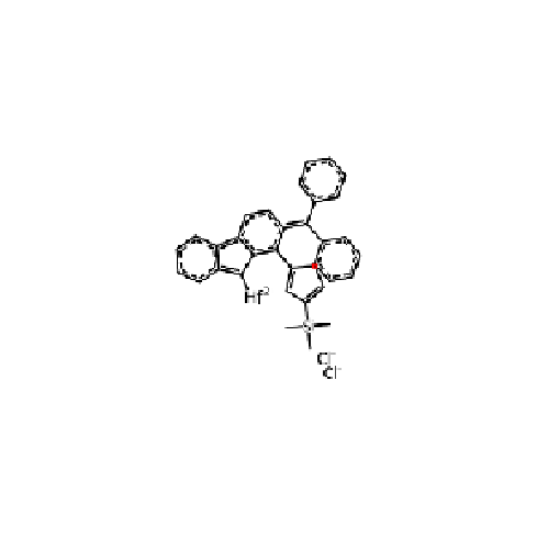 C[Si](C)(C)C1=CCC(c2c3c(ccc2=C(c2ccccc2)c2ccccc2)=c2ccccc2=[C]3[Hf+2])=C1.[Cl-].[Cl-]